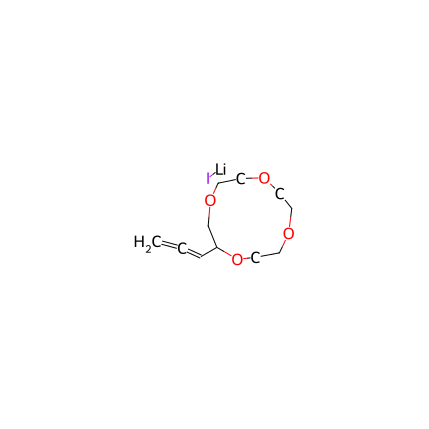 C=C=CC1COCCOCCOCCO1.[Li][I]